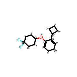 FC1(F)CCC(OC2=CC[CH]C=C2C2CCC2)CC1